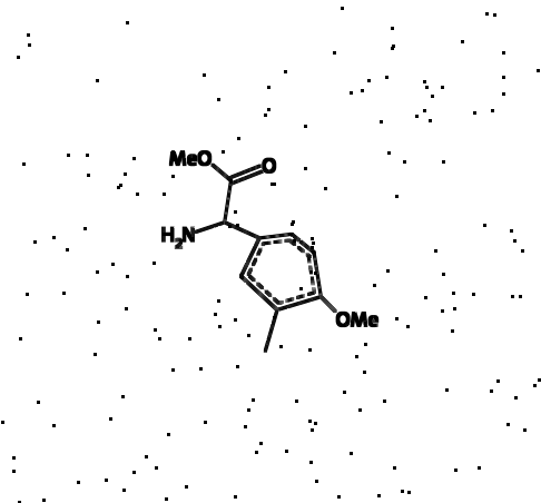 COC(=O)C(N)c1ccc(OC)c(C)c1